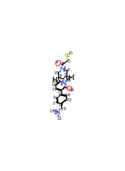 CSCC(=O)N1C[C@@H]2C[C@H](C1)c1ccc(-c3ccc(CN(C)C)cc3)c(=O)n1C2